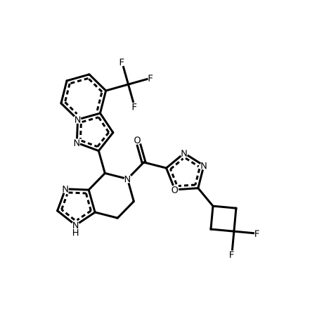 O=C(c1nnc(C2CC(F)(F)C2)o1)N1CCc2[nH]cnc2C1c1cc2c(C(F)(F)F)cccn2n1